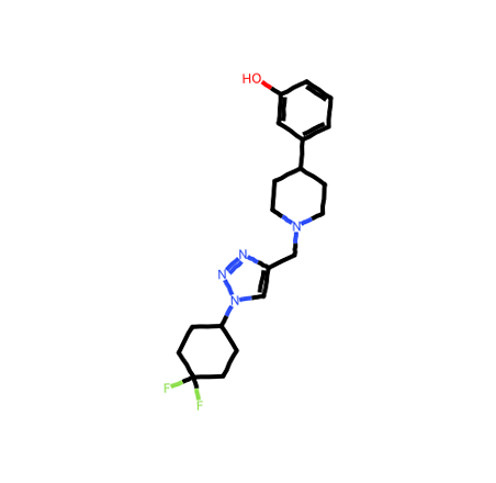 Oc1cccc(C2CCN(Cc3cn(C4CCC(F)(F)CC4)nn3)CC2)c1